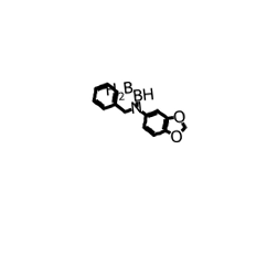 BBN(Cc1ccccc1)c1ccc2c(c1)OCO2